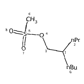 CCCCC(CCC)COS(C)(=O)=O